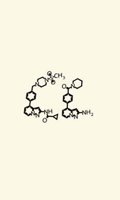 CS(=O)(=O)N1CCN(Cc2ccc(-c3cccn4nc(NC(=O)C5CC5)cc34)cc2)CC1.Nc1cc2c(-c3ccc(C(=O)N4CCCCC4)cc3)cccn2n1